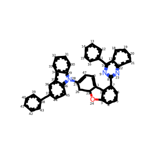 C1=C2c3c(cccc3-c3nc(-c4ccccc4)c4ccccc4n3)OC2CC(n2c3ccccc3c3cc(-c4ccccc4)ccc32)=C1